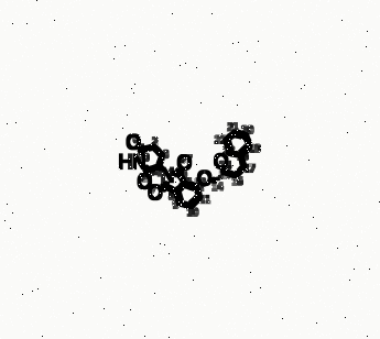 O=C1CCC(N2C(=O)c3cccc(OC[C@H]4CCc5ccccc5O4)c3C2=O)C(=O)N1